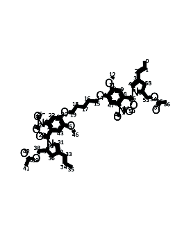 C/C=C/C1=CN(C(=O)c2cc(OC)c(OCCCCCOc3cc([N+](=O)[O-])c(C(=O)N4C=C(/C=C/C)CC4COC(C)=O)cc3OC)cc2[N+](=O)[O-])C(COC(C)=O)C1